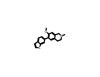 COc1cc2c(cc1-c1ccc3ccsc3c1)CCN(C)C2